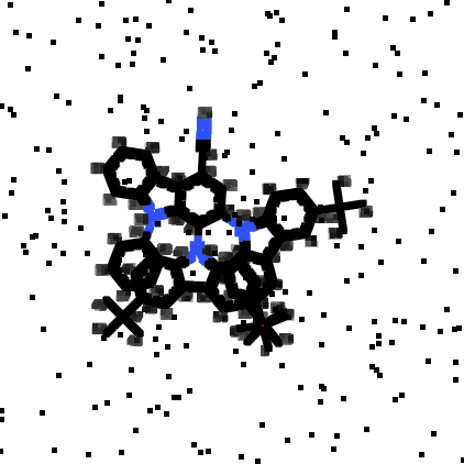 CC(C)(C)c1ccc2c(c1)c1cc(C(C)(C)C)ccc1n2-c1cc(C#N)c2c3ccccc3n(-c3ccccc3)c2c1-n1c2ccc(C(C)(C)C)cc2c2cc(C(C)(C)C)ccc21